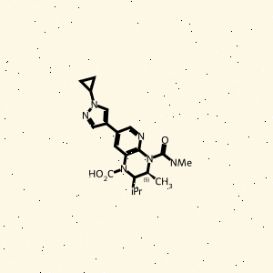 CNC(=O)N1c2ncc(-c3cnn(C4CC4)c3)cc2N(C(=O)O)C(C(C)C)[C@@H]1C